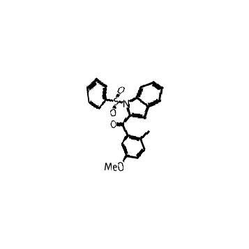 COc1ccc(C)c(C(=O)c2cc3ccccc3n2S(=O)(=O)c2ccccc2)c1